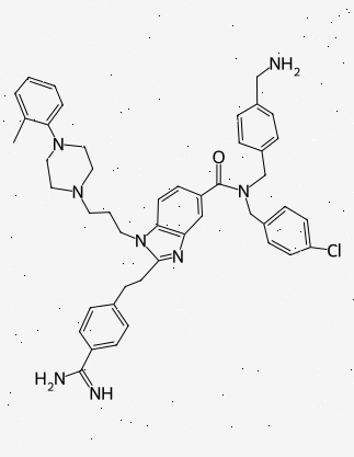 Cc1ccccc1N1CCN(CCCn2c(CCc3ccc(C(=N)N)cc3)nc3cc(C(=O)N(Cc4ccc(Cl)cc4)Cc4ccc(CN)cc4)ccc32)CC1